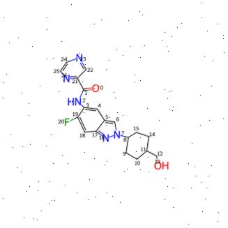 O=C(Nc1cc2cn(C3CCC(CO)CC3)nc2cc1F)c1cnccn1